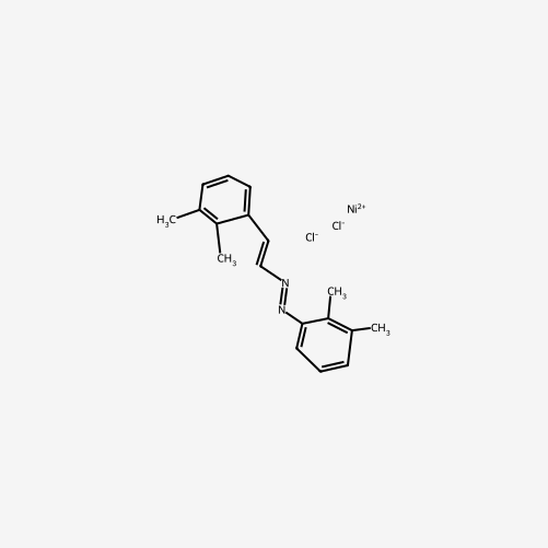 Cc1cccc(C=CN=Nc2cccc(C)c2C)c1C.[Cl-].[Cl-].[Ni+2]